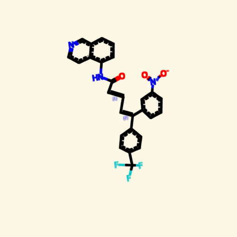 O=C(/C=C/C=C(/c1ccc(C(F)(F)F)cc1)c1cccc([N+](=O)[O-])c1)Nc1cccc2cnccc12